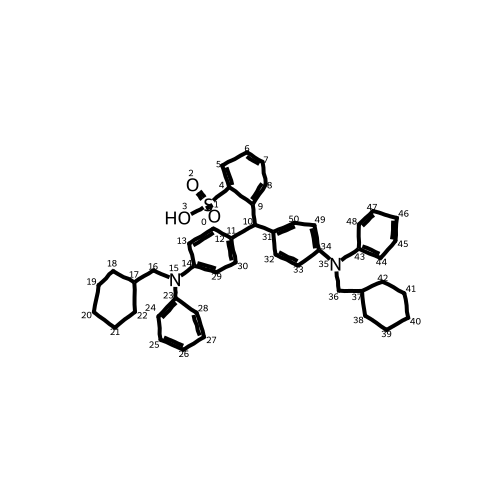 O=S(=O)(O)c1ccccc1C(c1ccc(N(CC2CCCCC2)c2ccccc2)cc1)c1ccc(N(CC2CCCCC2)c2ccccc2)cc1